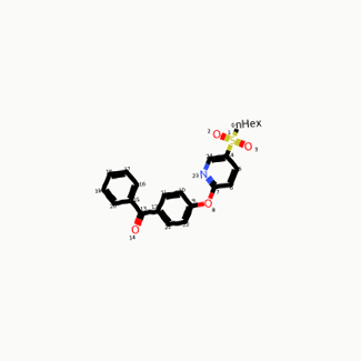 CCCCCCS(=O)(=O)c1ccc(Oc2ccc(C(=O)c3ccccc3)cc2)nc1